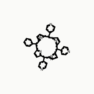 C1=Cc2nc1c(-c1ccccc1)c1ccc([nH]1)c(-c1ccncc1)c1nc(c(-c3ccncc3)c3ccc([nH]3)c2-c2ccncc2)C=C1